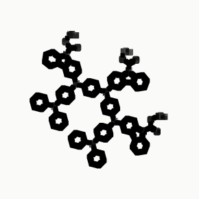 CC(C)(C)OC(=O)n1c2ccccc2c2cc(N(c3ccc(N(c4ccccc4)c4ccccc4)cc3)c3ccc(N(c4ccc(N(c5ccc(N(c6ccccc6)c6ccccc6)cc5)c5ccc6c(c5)c5ccccc5n6C(=O)OC(C)(C)C)cc4)c4ccc5c(c4)c4ccccc4n5C(=O)OC(C)(C)C)cc3)ccc21